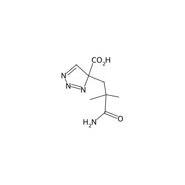 CC(C)(CC1(C(=O)O)C=NN=N1)C(N)=O